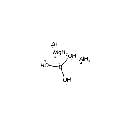 OB(O)O.[AlH3].[MgH2].[Zn]